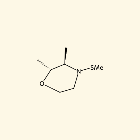 CSN1CCO[C@H](C)[C@H]1C